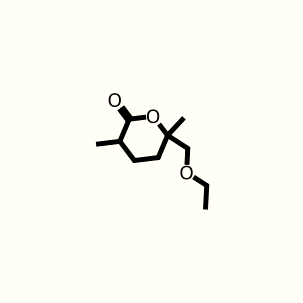 CCOCC1(C)CCC(C)C(=O)O1